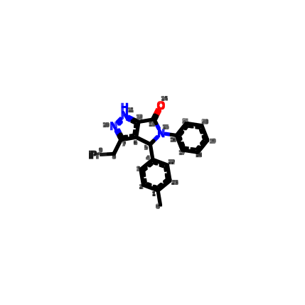 Cc1ccc(C2c3c(CC(C)C)n[nH]c3C(=O)N2c2ccccc2)cc1